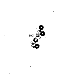 Cl.O=C(CN1CCC(N2C(=O)OCc3ccccc32)CC1)Nc1ccccc1C(=O)c1ccccc1